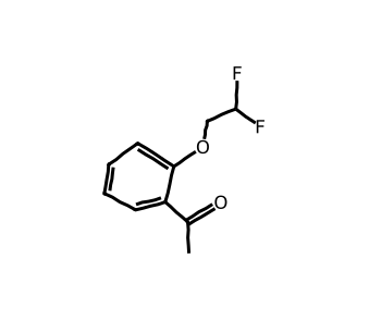 CC(=O)c1ccccc1OCC(F)F